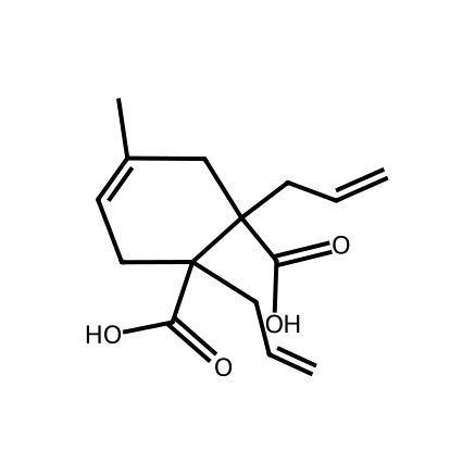 C=CCC1(C(=O)O)CC=C(C)CC1(CC=C)C(=O)O